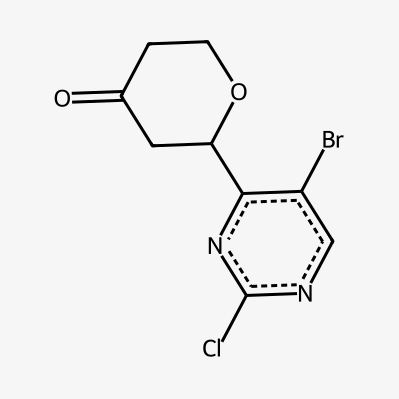 O=C1CCOC(c2nc(Cl)ncc2Br)C1